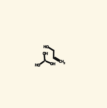 C=CCO.OP(O)O